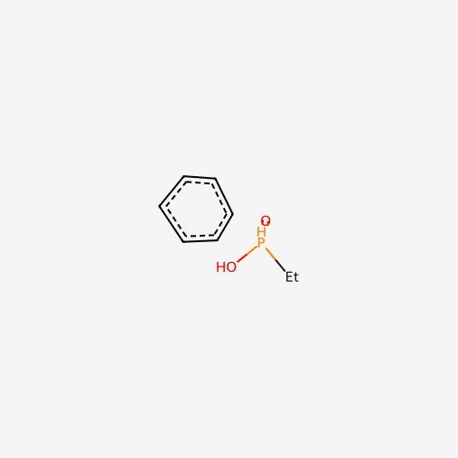 CC[PH](=O)O.c1ccccc1